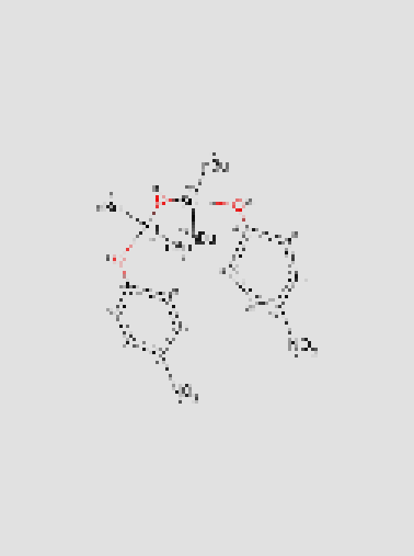 CCC[CH2][Sn]([CH2]CCC)([O]c1ccc([N+](=O)[O-])cc1)[O][Sn]([CH2]CCC)([CH2]CCC)[O]c1ccc([N+](=O)[O-])cc1